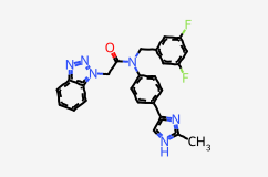 Cc1nc(-c2ccc(N(Cc3cc(F)cc(F)c3)C(=O)Cn3nnc4ccccc43)cc2)c[nH]1